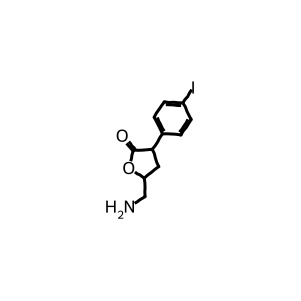 NCC1CC(c2ccc(I)cc2)C(=O)O1